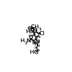 CS(=O)(=O)Nc1cc(Cl)cc(-c2nn(CCCO)cc2C(N)=O)c1